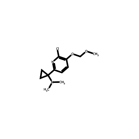 COCOc1ccc(C2(N(C)C)CC2)nc1Cl